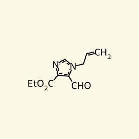 C=CCn1cnc(C(=O)OCC)c1C=O